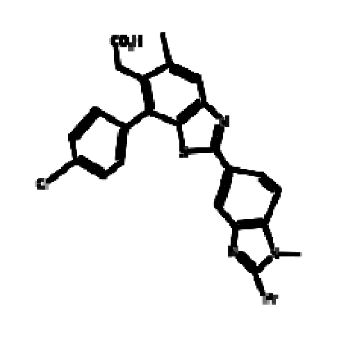 Cc1cc2nc(-c3ccc4c(c3)nc(C(C)C)n4C)sc2c(-c2ccc(Cl)cc2)c1CC(=O)O